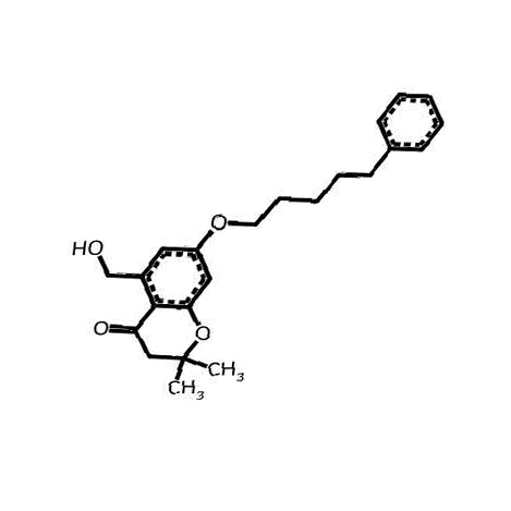 CC1(C)CC(=O)c2c(CO)cc(OCCCCCc3ccccc3)cc2O1